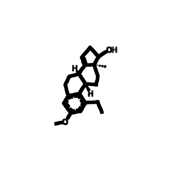 CCc1cc(OC)cc2c1[C@H]1CC[C@@]3(C)C(=CCC3O)[C@@H]1CC2